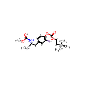 CC(C)(C)OC(=O)NC(Cc1ccc(OC(=O)OCC[Si](C)(C)C)c(I)c1)C(=O)O